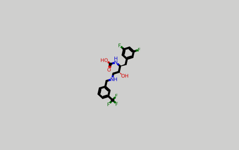 O=C(O)N[C@@H](Cc1cc(F)cc(F)c1)[C@H](O)CNCc1cccc(C(F)(F)F)c1